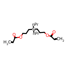 C=CC(=O)OCCC[Si](CCC)(CCC)CCCOC(=O)C=C